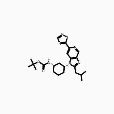 CC(C)Cc1nc2cnc(-c3ncns3)cc2n1[C@@H]1CCC[C@H](NC(=O)OC(C)(C)C)C1